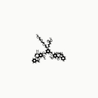 CCc1ccccc1N1CCNc2cc(OCc3cc(COc4cc5c(cc4OC)C(=O)N4C6CC=CC=C6C[C@H]4CN5)cc(N(CCCC(=O)OC)CCOCCOCCOC)c3)c(OC)cc2C1=O